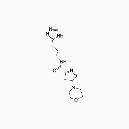 O=C(NCCCc1nnc[nH]1)C1=NOC(N2CCOCC2)C1